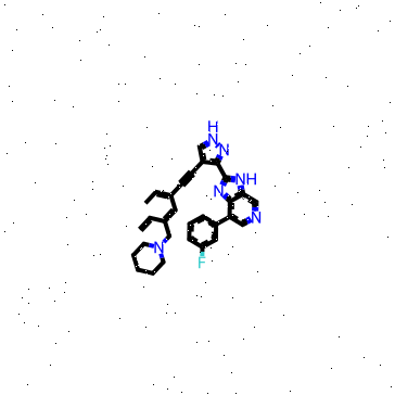 C=C/C(=C\C(C#Cc1c[nH]nc1-c1nc2c(-c3cccc(F)c3)cncc2[nH]1)=C/C)CN1CCCCC1